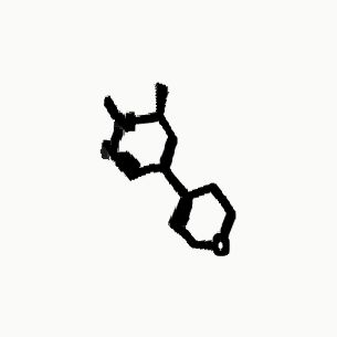 CC1C=C(C2=CCOCC2)C=NN1C